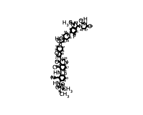 CCN(C)S(=O)(=O)Nc1ccc(F)c(Nc2ccc3ncn(C4COC5(CCN(C(=O)CC6(O)CCN(c7cc8c(cc7F)c(N7CCC(=O)NC7=O)nn8C)CC6)CC5)C4)c(=O)c3c2Cl)c1C#N